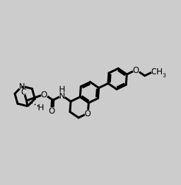 CCOc1ccc(-c2ccc3c(c2)OCCC3NC(=O)O[C@@H]2CN3CCC2CC3)cc1